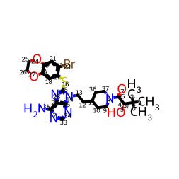 CC(C)(C)[C@H](O)C(=O)N1CCC(CCn2c(Sc3cc4c(cc3Br)OCCO4)nc3c(N)ncnc32)CC1